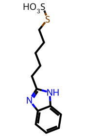 O=S(=O)(O)SCCCCCc1nc2ccccc2[nH]1